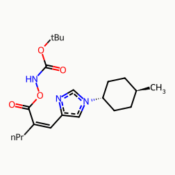 CCCC(=Cc1cn([C@H]2CC[C@H](C)CC2)cn1)C(=O)ONC(=O)OC(C)(C)C